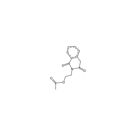 CC(=O)OCCN1C(=O)Cc2ccccc2C1=O